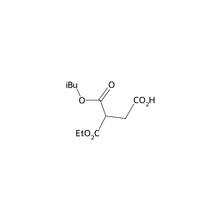 CCOC(=O)C(CC(=O)O)C(=O)OC(C)CC